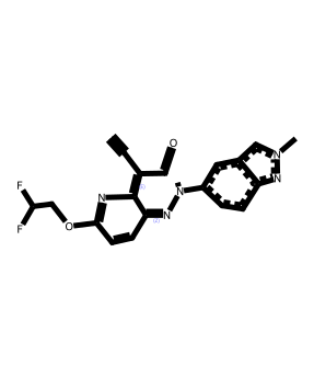 C#C/C(C=O)=C1\N=C(OCC(F)F)C=C\C1=N\N(C)c1ccc2nn(C)cc2c1